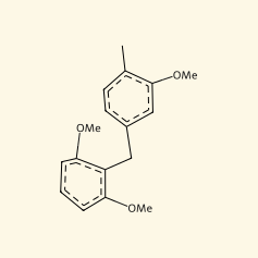 COc1cc(Cc2c(OC)cccc2OC)ccc1C